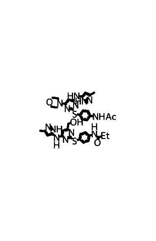 CC(=O)Nc1ccc(Sc2nc(Nc3cc(C)n[nH]3)cc(N3CCOCC3)n2)cc1.CCC(=O)Nc1ccc(Sc2nc(CO)cc(Nc3cc(C)n[nH]3)n2)cc1